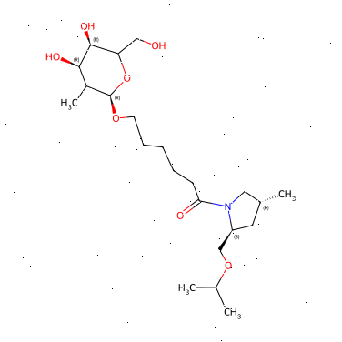 CC(C)OC[C@@H]1C[C@@H](C)CN1C(=O)CCCCCO[C@@H]1OC(CO)[C@H](O)[C@H](O)C1C